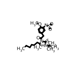 CCCCCCC(C)N(C(=O)Cc1ccc(OC)c(N=S(=O)=O)c1)C(=S)NC(C)(C)C